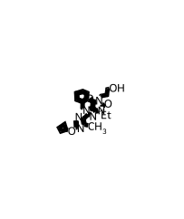 CCn1c(=O)n(CCCO)c(=O)c2c1nc(-c1ncc(OC3CCC3)nc1C)n2Cc1ccccc1